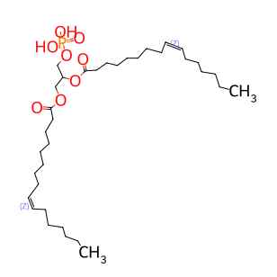 CCCCCC/C=C\CCCCCCCC(=O)OCC(COP(=O)(O)O)OC(=O)CCCCCCC/C=C\CCCCCC